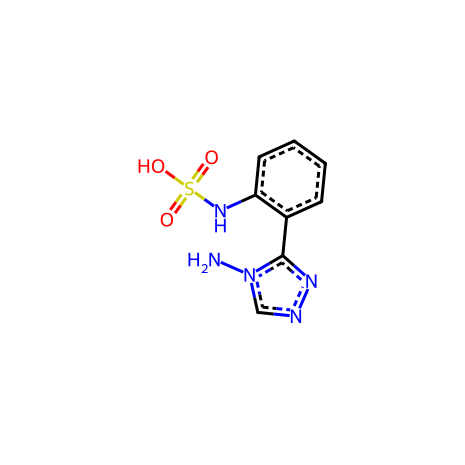 Nn1cnnc1-c1ccccc1NS(=O)(=O)O